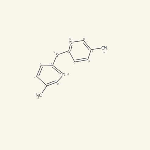 N#Cc1ccc(Sc2ccc(C#N)cn2)nc1